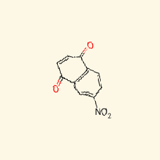 O=C1C=CC(=O)c2cc([N+](=O)[O-])ccc21